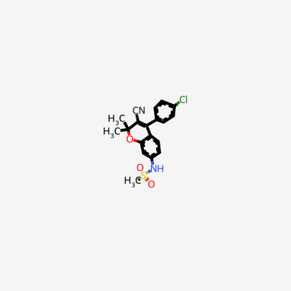 CC1(C)Oc2cc(NS(C)(=O)=O)ccc2C(c2ccc(Cl)cc2)=C1C#N